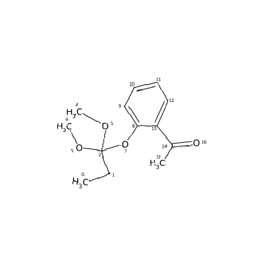 CCC(OC)(OC)Oc1ccccc1C(C)=O